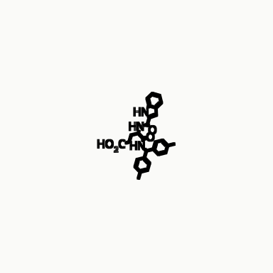 Cc1ccc(C(NC(=O)C(CCC(=O)O)NC(=O)c2cc3ccccc3[nH]2)c2ccc(C)cc2)cc1